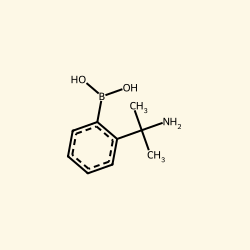 CC(C)(N)c1ccccc1B(O)O